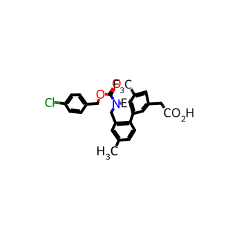 CCN(Cc1cc(C)ccc1-c1cc(CC(=O)O)cc(C(F)(F)F)c1)C(=O)OCc1ccc(Cl)cc1